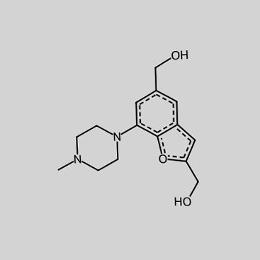 CN1CCN(c2cc(CO)cc3cc(CO)oc23)CC1